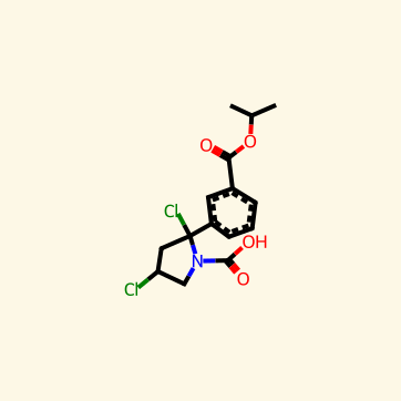 CC(C)OC(=O)c1cccc(C2(Cl)CC(Cl)CN2C(=O)O)c1